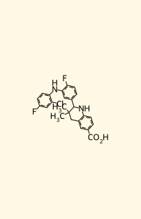 CC1(C)Cc2cc(C(=O)O)ccc2NC1c1ccc(F)c(Nc2ccc(F)cc2Cl)c1